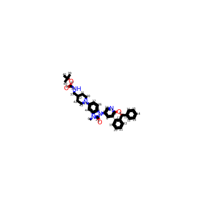 Cn1c(=O)n(-c2ccc(OC(c3ccccc3)c3ccccc3)nc2)c2ccc(N3CCC(CNC(=O)OC(C)(C)C)CC3)cc21